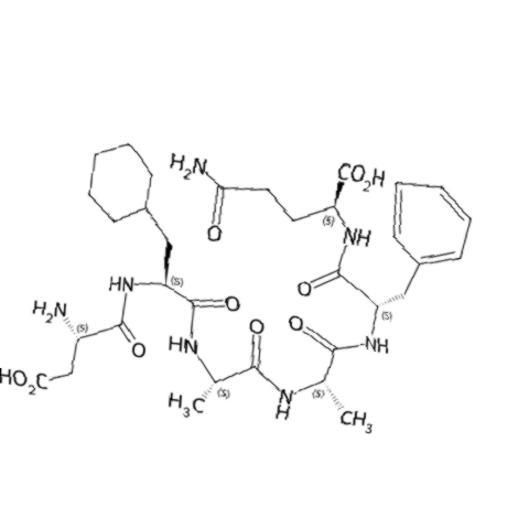 C[C@H](NC(=O)[C@H](C)NC(=O)[C@H](CC1CCCCC1)NC(=O)[C@@H](N)CC(=O)O)C(=O)N[C@@H](Cc1ccccc1)C(=O)N[C@@H](CCC(N)=O)C(=O)O